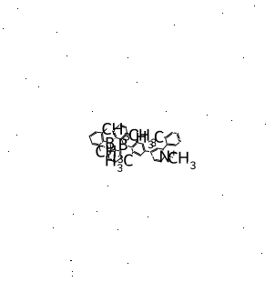 Cc1ccccc1-c1cc(-c2cc(C)c(B3c4ccccc4B(c4c(C)cccc4C)c4ccccc43)c(C)c2)cc[n+]1C